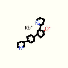 [O-]c1ccc(-c2ccc(-c3cccnc3)cc2)cc1-c1ccccn1.[Rb+]